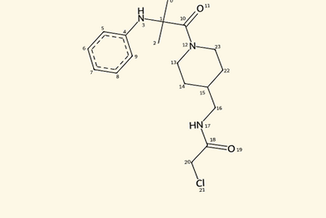 CC(C)(Nc1ccccc1)C(=O)N1CCC(CNC(=O)CCl)CC1